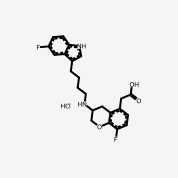 Cl.O=C(O)Cc1ccc(F)c2c1CC(NCCCCc1c[nH]c3ccc(F)cc13)CO2